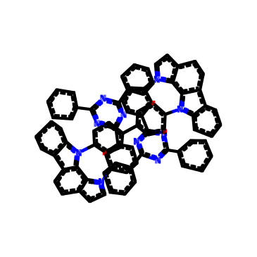 c1ccc(-c2nc(-c3ccccc3)nc(-c3cccc(-n4ccc5ccc6c7ccccc7n(-c7ccc(-c8ccc(-n9c%10ccccc%10c%10ccc%11ccn(-c%12cccc(-c%13nc(-c%14ccccc%14)nc(-c%14ccccc%14)n%13)c%12)c%11c%109)cc8)cc7)c6c54)c3)n2)cc1